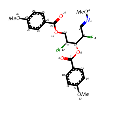 CON=C[C@@H](F)[C@H](OC(=O)c1ccc(OC)cc1)[C@@H](Br)COC(=O)c1ccc(OC)cc1